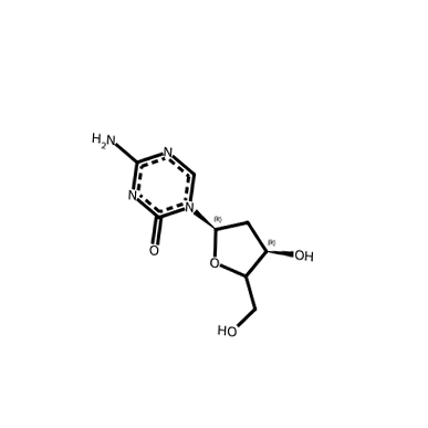 Nc1ncn([C@H]2C[C@@H](O)C(CO)O2)c(=O)n1